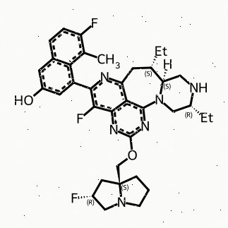 CC[C@@H]1CN2c3nc(OC[C@@]45CCCN4C[C@H](F)C5)nc4c(F)c(-c5cc(O)cc6ccc(F)c(C)c56)nc(c34)C[C@H](CC)[C@H]2CN1